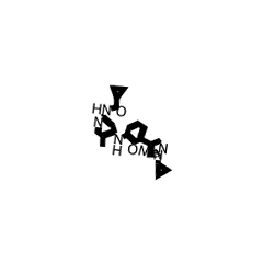 COc1c(Nc2cc(NC(=O)C3CC3)ncc2C)cccc1-c1cnn(C2CC2)c1